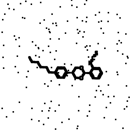 CCCCCCc1ccc([C@H]2CO[C@H](c3ccccc3N=C=S)OC2)cc1